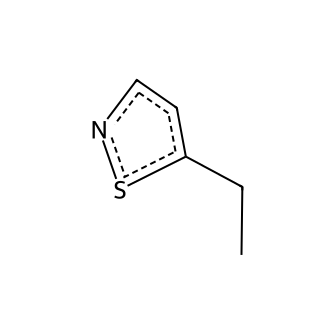 CCc1ccns1